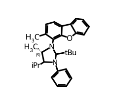 Cc1ccc2c(oc3ccccc32)c1N1C(C(C)(C)C)N(c2ccccc2)C(C(C)C)[C@@H]1C